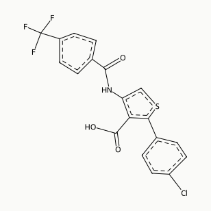 O=C(Nc1csc(-c2ccc(Cl)cc2)c1C(=O)O)c1ccc(C(F)(F)F)cc1